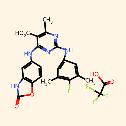 Cc1cc(Nc2nc(C)c(C(=O)O)c(Nc3ccc4oc(=O)[nH]c4c3)n2)cc(C)c1F.O=C(O)C(F)(F)F